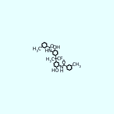 Cc1cccc(C(=O)Nc2cc(C(C)(c3ccc(O)c(NC(=O)c4cccc(C)c4)c3)C(F)(F)F)ccc2O)c1